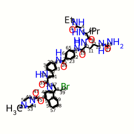 CCNC(=O)CN[C@H](C(=O)N[C@@H](CCCNC(N)=O)C(=O)Nc1ccc(C(=O)Nc2ccc3[nH]c(C(=O)N4C[C@@H](CBr)c5c4cc(OC(=O)N4CCN(C)CC4)c4ccccc54)cc3c2)cc1)C(C)C